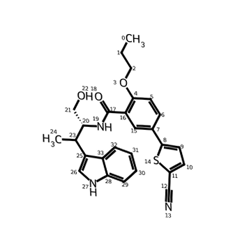 CCCOc1ccc(-c2ccc(C#N)s2)cc1C(=O)N[C@@H](CO)C(C)c1c[nH]c2ccccc12